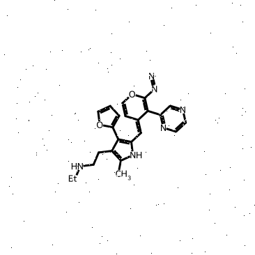 CCNCCc1c(C)[nH]c(C=C2C=COC(N=[N])=C2c2cnccn2)c1-c1ccco1